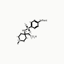 CCCCCc1ccc(S(=O)(=O)NC2(CC(=O)O)CCN(C)CC2)cc1